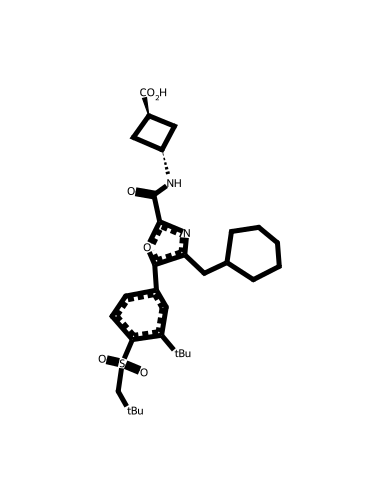 CC(C)(C)CS(=O)(=O)c1ccc(-c2oc(C(=O)N[C@H]3C[C@H](C(=O)O)C3)nc2CC2CCCCC2)cc1C(C)(C)C